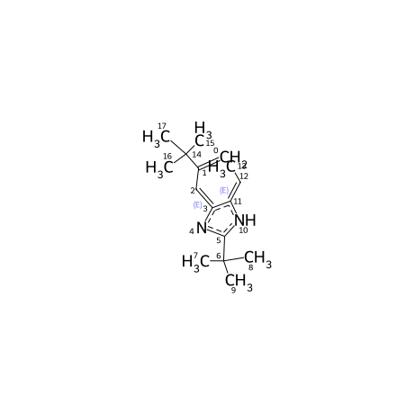 C=C(/C=c1/nc(C(C)(C)C)[nH]/c1=C/C)C(C)(C)C